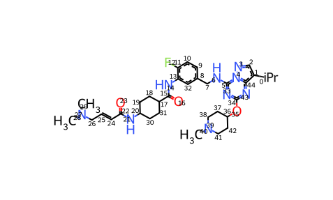 CC(C)c1cnn2c(NCc3ccc(F)c(NC(=O)C4CCC(NC(=O)C=CCN(C)C)CC4)c3)nc(OC3CCN(C)CC3)nc12